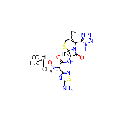 CCC1=C(c2nnn[nH]2)N2C(=O)[C@@H](NC(=O)/C(=N\OC(C)(C)C(=O)O)c3nsc(N)n3)[C@H]2SC1